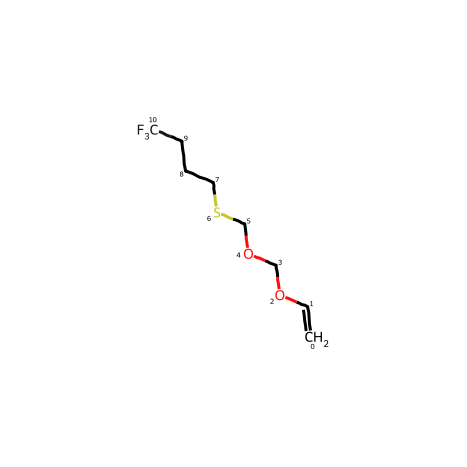 C=COCOCSCCCC(F)(F)F